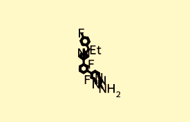 CCC(c1ccc(F)cc1)n1cc(-c2cccc(-c3ccn4nc(N)nc4c3F)c2F)cn1